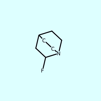 FC1CC2CCN1CC2